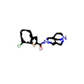 O=C(c1cc2cccc(Cl)c2s1)N1CC2CN3C=C1C2CC3